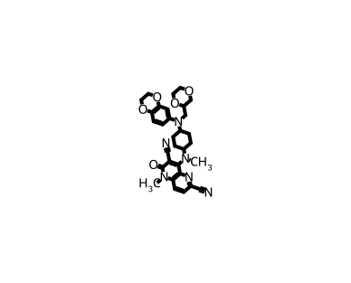 CN(c1c(C#N)c(=O)n(C)c2ccc(C#N)nc12)C1CCC(N(CC2COCCO2)c2ccc3c(c2)OCCO3)CC1